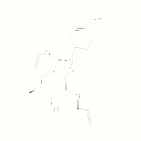 C=CC(=O)NCc1nn(-c2ccc(OC(F)(F)F)cc2)c2nccc([C@H](C)CO)c12